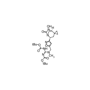 CN(Cc1cc([C@@H]2CC3(CC3)[C@H]3CN2C(=O)N3O)no1)/C(=N\C(=O)OC(C)(C)C)NC(=O)OC(C)(C)C